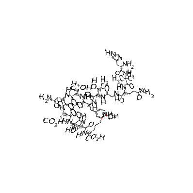 CC(C)[C@H](NC(=O)[C@H](CC(=O)O)NC(=O)[C@H](CC(N)=O)NC(=O)[C@@H](NC(=O)[C@H](Cc1ccc(O)cc1)NC(=O)[C@@H](NC(=O)CNC(=O)[C@H](CCC(N)=O)NC(=O)C(C)(C)NC(=O)[C@@H](N)Cc1c[nH]cn1)[C@@H](C)O)[C@@H](C)O)C(=O)N[C@@H](CO)C(=O)N[C@@H](CCCCN)C(=O)O